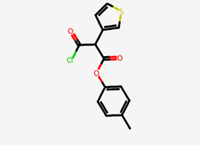 Cc1ccc(OC(=O)C(C(=O)Cl)c2ccsc2)cc1